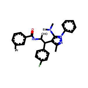 CCN(C)c1c(C(c2ccc(F)cc2)C(C=O)NC(=O)c2cccc(C(C)C)c2)c(C)nn1-c1ccccc1